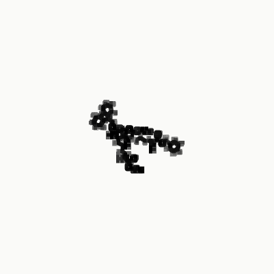 COC(=O)[C@H](CCCCNC(=O)OCc1ccccc1)NC(=O)C(CCCCNC(=O)OC(C)(C)C)NC(=O)OCC1c2ccccc2-c2ccccc21